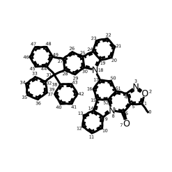 Cc1onc2c1c(=O)n1c3ccccc3c3cc(-n4c5ccccc5c5cc6c(cc54)C(c4ccccc4)(c4ccccc4)c4ccccc4-6)cc2c31